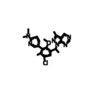 COc1c(C(C)n2nc(C)c3cncnc32)cc(Cl)c(C)c1-c1ccc(N(C)C)nc1